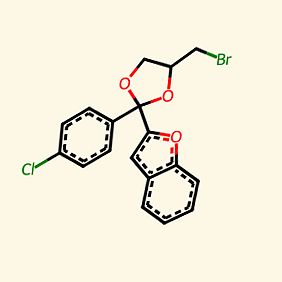 Clc1ccc(C2(c3cc4ccccc4o3)OCC(CBr)O2)cc1